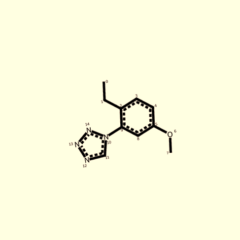 CCc1ccc(OC)cc1-n1cnnn1